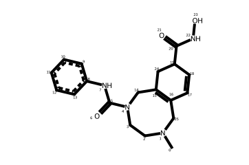 CN1CCN(C(=O)Nc2ccccc2)CC2=C(C=CC(C(=O)NO)C2)C1